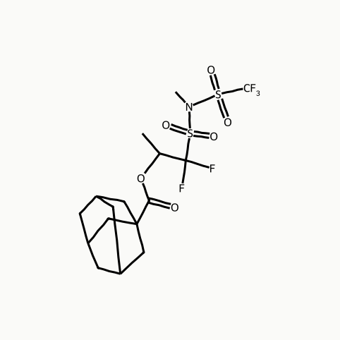 CC(OC(=O)C12CC3CC(CC(C3)C1)C2)C(F)(F)S(=O)(=O)N(C)S(=O)(=O)C(F)(F)F